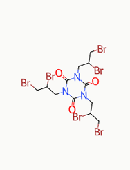 O=c1n(CC(Br)CBr)c(=O)n(CC(Br)CBr)c(=O)n1CC(Br)CBr